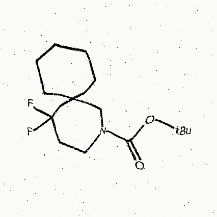 CC(C)(C)OC(=O)N1CCC(F)(F)C2(CCCCC2)C1